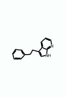 c1ccc(CCc2c[nH]c3ncccc23)cc1